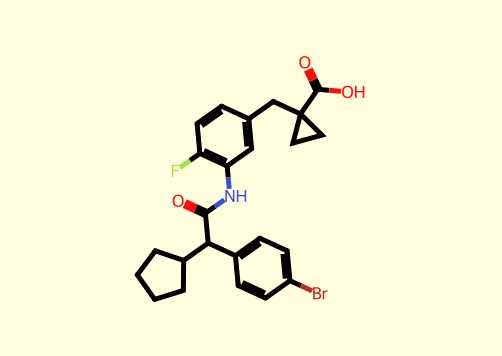 O=C(Nc1cc(CC2(C(=O)O)CC2)ccc1F)C(c1ccc(Br)cc1)C1CCCC1